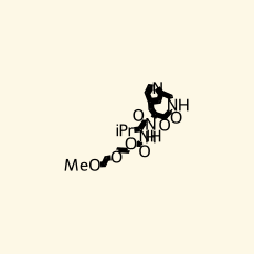 COCCOCCOC(=O)NC(C(=O)NC1Cc2ccnc(c2)CNC(=O)C1=O)C(C)C